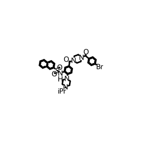 CC(C)N1CCN(c2ccc(C(=O)N3CCN(C(=O)c4ccc(Br)cc4)CC3)cc2NS(=O)(=O)c2ccc3ccccc3c2)CC1